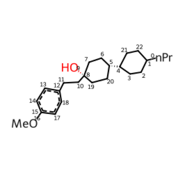 CCCC1CCC([C@H]2CC[C@](O)(CCc3ccc(OC)cc3)CC2)CC1